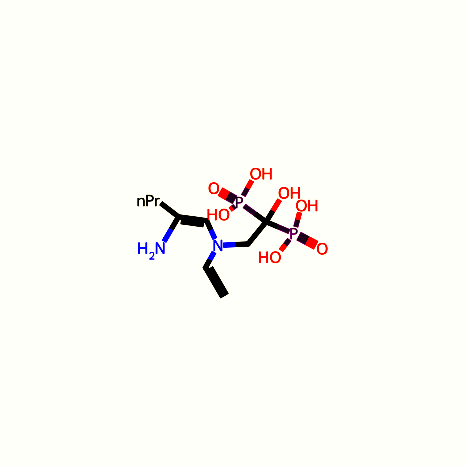 C=CN(/C=C(\N)CCC)CC(O)(P(=O)(O)O)P(=O)(O)O